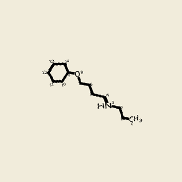 CCCNCCCCOC1CCCCC1